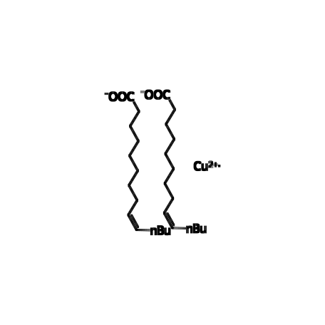 CCCC/C=C\CCCCCCCC(=O)[O-].CCCC/C=C\CCCCCCCC(=O)[O-].[Cu+2]